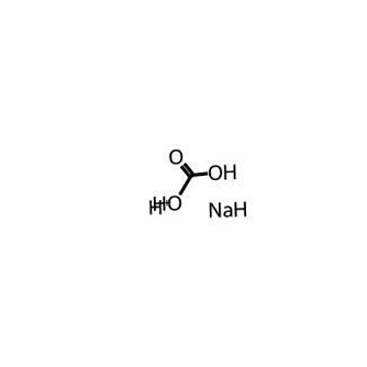 O=C(O)O.[H+].[NaH]